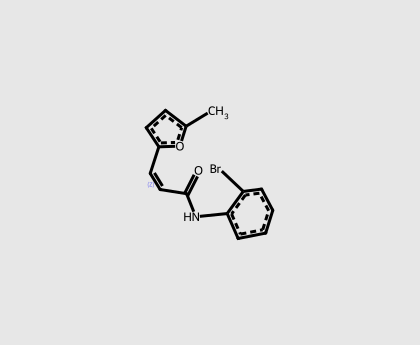 Cc1ccc(/C=C\C(=O)Nc2ccccc2Br)o1